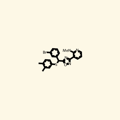 CNc1ncccc1-c1noc(C(Sc2ccc(C)c(C)c2)c2cccc(Br)c2)n1